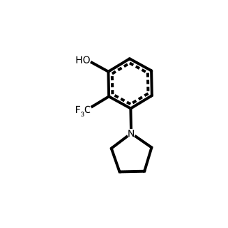 Oc1cccc(N2CCCC2)c1C(F)(F)F